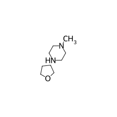 C1CCOC1.CN1CCNCC1